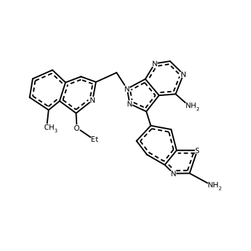 CCOc1nc(Cn2nc(-c3ccc4nc(N)sc4c3)c3c(N)ncnc32)cc2cccc(C)c12